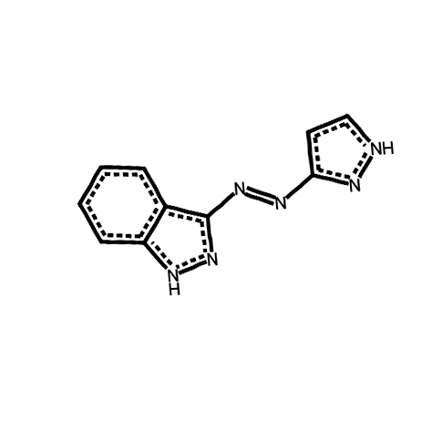 c1ccc2c(N=Nc3cc[nH]n3)n[nH]c2c1